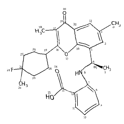 Cc1cc([C@@H](C)Nc2ccccc2C(=O)O)c2oc(C3CCC(C)(F)CC3)c(C)c(=O)c2c1